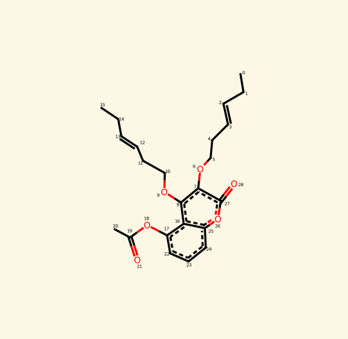 CCC=CCCOc1c(OCCC=CCC)c2c(OC(C)=O)cccc2oc1=O